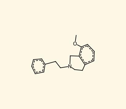 COc1cccc2c1CN(CCc1ccccc1)CC2